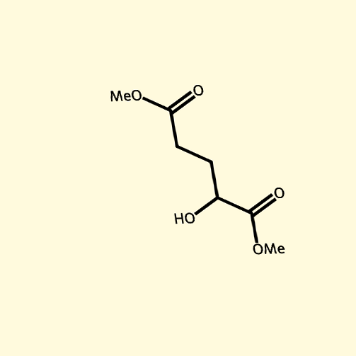 COC(=O)CCC(O)C(=O)OC